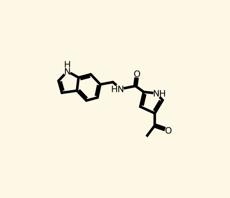 CC(=O)c1c[nH]c(C(=O)NCc2ccc3cc[nH]c3c2)c1